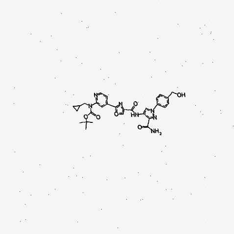 CC(C)(C)OC(=O)N(CC1CC1)c1cc(-c2nc(C(=O)Nc3cn(-c4ccc(CO)cc4)nc3C(N)=O)co2)ccn1